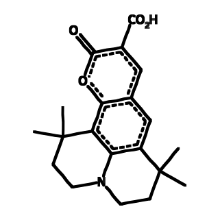 CC1(C)CCN2CCC(C)(C)c3c2c1cc1cc(C(=O)O)c(=O)oc31